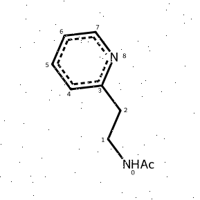 CC(=O)NCCc1ccccn1